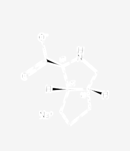 O=C([O-])[C@H]1NC[C@@H]2CCC[C@@H]21.[Na+]